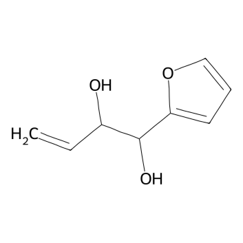 C=CC(O)C(O)c1ccco1